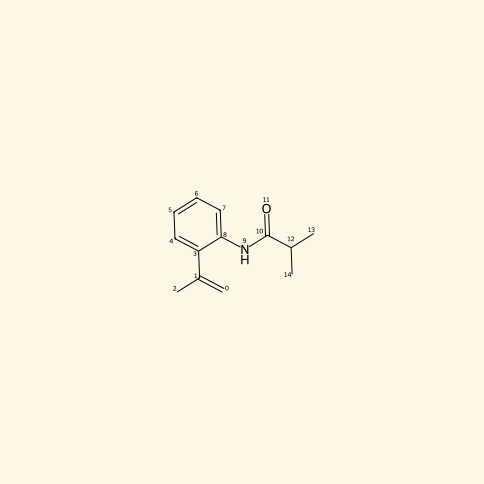 C=C(C)c1ccccc1NC(=O)C(C)C